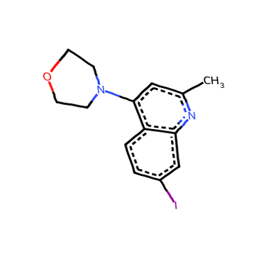 Cc1cc(N2CCOCC2)c2ccc(I)cc2n1